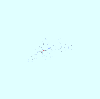 CC1(c2ccccc2)c2ccccc2-c2c(-c3ccc(N(c4ccccc4-c4ccc(-c5ccc6ccccc6c5)cc4)c4cccc5ccccc45)cc3)cccc21